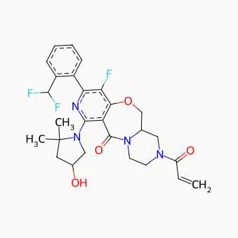 C=CC(=O)N1CCN2C(=O)c3c(N4CC(O)CC4(C)C)nc(-c4ccccc4C(F)F)c(F)c3OCC2C1